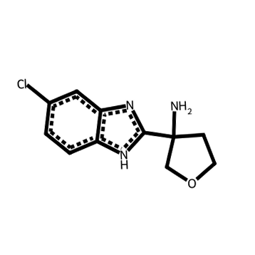 NC1(c2nc3cc(Cl)ccc3[nH]2)CCOC1